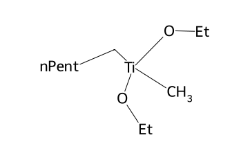 CCCCC[CH2][Ti]([CH3])([O]CC)[O]CC